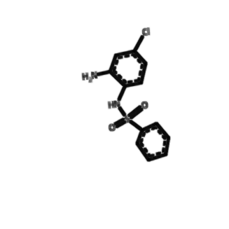 Nc1cc(Cl)ccc1NS(=O)(=O)c1ccccc1